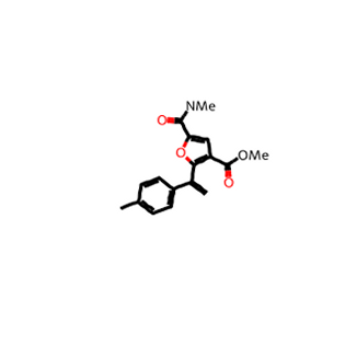 C=C(c1ccc(C)cc1)c1oc(C(=O)NC)cc1C(=O)OC